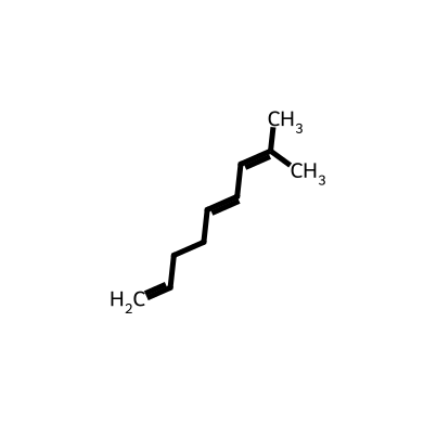 C=CCC/C=C/C=C(C)C